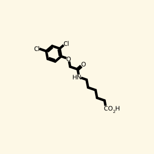 O=C(O)CCCCCNC(=O)COc1ccc(Cl)cc1Cl